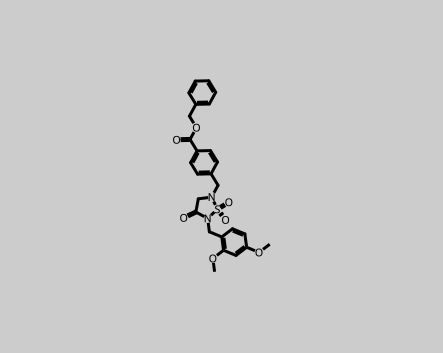 COc1ccc(CN2C(=O)CN(Cc3ccc(C(=O)OCc4ccccc4)cc3)S2(=O)=O)c(OC)c1